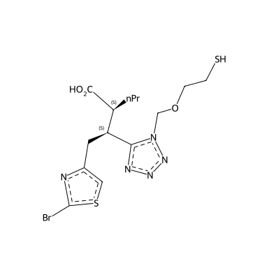 CCC[C@H](C(=O)O)[C@H](Cc1csc(Br)n1)c1nnnn1COCCS